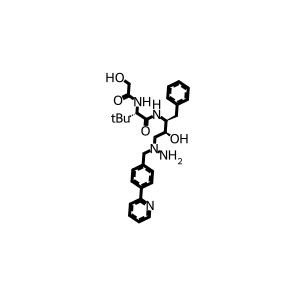 CC(C)(C)[C@H](NC(=O)CO)C(=O)N[C@@H](Cc1ccccc1)[C@@H](O)CN(N)Cc1ccc(-c2ccccn2)cc1